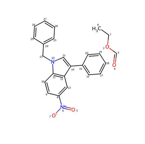 CCOC=O.O=[N+]([O-])c1ccc2c(c1)c(-c1ccccc1)cn2Cc1ccccc1